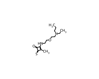 CCCN(CC)CCOCCNc1c(C)c(=S)c1=O